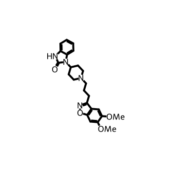 COc1cc2onc(CCCN3CCC(n4c(=O)[nH]c5ccccc54)CC3)c2cc1OC